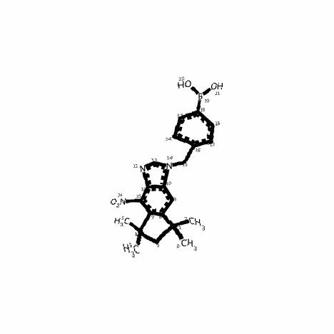 CC1(C)CC(C)(C)c2c1cc1c(ncn1Cc1ccc(B(O)O)cc1)c2[N+](=O)[O-]